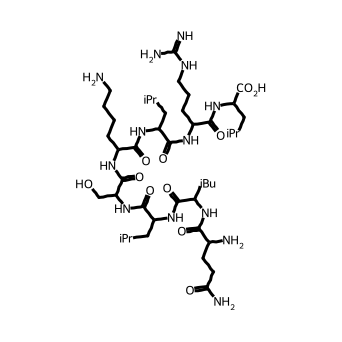 CCC(C)C(NC(=O)C(N)CCC(N)=O)C(=O)NC(CC(C)C)C(=O)NC(CO)C(=O)NC(CCCCN)C(=O)NC(CC(C)C)C(=O)NC(CCCNC(=N)N)C(=O)NC(CC(C)C)C(=O)O